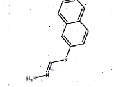 N/N=C/Sc1ccc2ccccc2c1